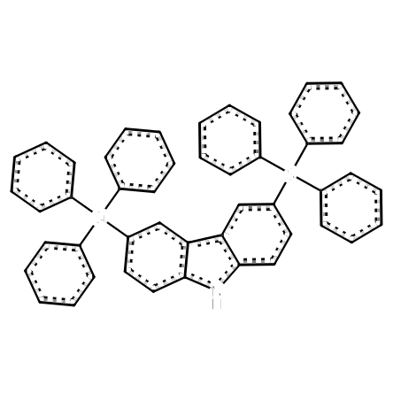 c1ccc([Si](c2ccccc2)(c2ccccc2)c2ccc3[nH]c4ccc(S(c5ccccc5)(c5ccccc5)c5ccccc5)cc4c3c2)cc1